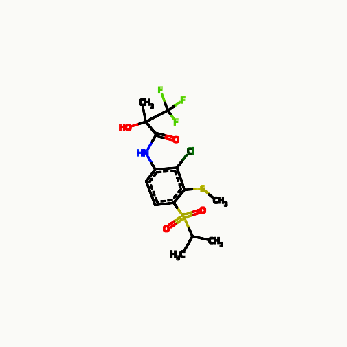 CSc1c(S(=O)(=O)C(C)C)ccc(NC(=O)C(C)(O)C(F)(F)F)c1Cl